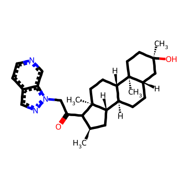 C[C@@H]1C[C@H]2[C@@H]3CC[C@H]4C[C@](C)(O)CC[C@]4(C)[C@H]3CC[C@]2(C)C1C(=O)Cn1ncc2ccncc21